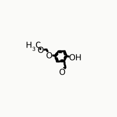 COCOc1ccc(O)c(C=O)c1